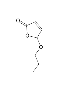 CCCOC1C=CC(=O)O1